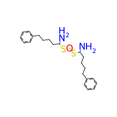 NC(CCCCc1ccccc1)SOSC(N)CCCCc1ccccc1